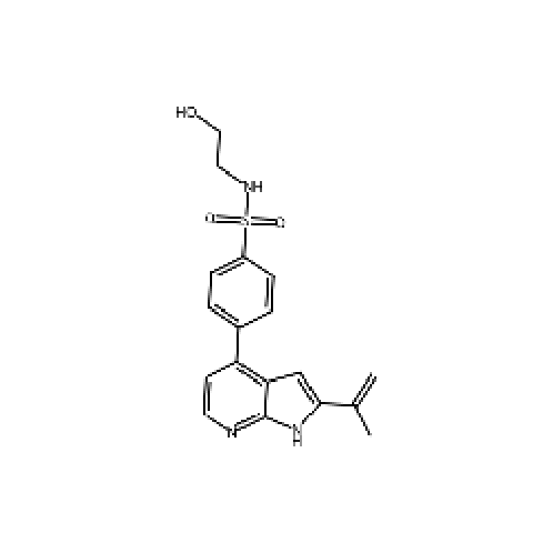 C=C(C)c1cc2c(-c3ccc(S(=O)(=O)NCCO)cc3)ccnc2[nH]1